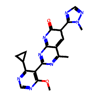 COc1ncnc(C2CC2)c1-c1nc(C)c2c(n1)=NC(=O)C(c1ncnn1C)C=2